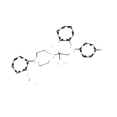 COc1ccccc1N1CCN(C2(C)CN(c3ccc(F)cc3)c3ccccc3O2)CC1